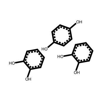 Oc1ccc(O)cc1.Oc1ccccc1O.Oc1ccccc1O